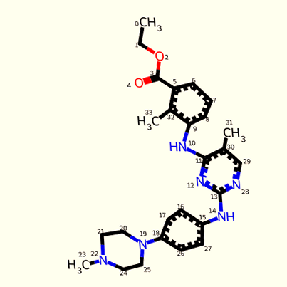 CCOC(=O)c1cccc(Nc2nc(Nc3ccc(N4CCN(C)CC4)cc3)ncc2C)c1C